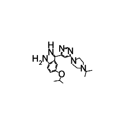 CC(C)Oc1ccc(N)c(C(=N)c2cc(N3CCN(C(C)C)CC3)ncn2)c1